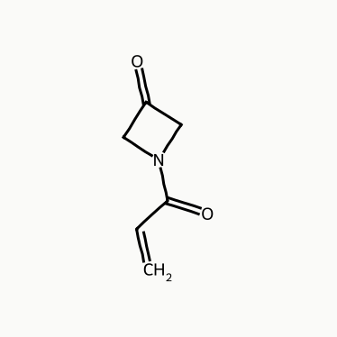 C=CC(=O)N1CC(=O)C1